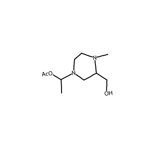 CC(=O)OC(C)N1CCN(C)C(CO)C1